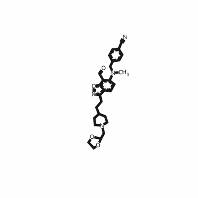 CN(Cc1ccc(C#N)cc1)c1ccc2c(CCC3CCN(CC4OCCO4)CC3)noc2c1C=O